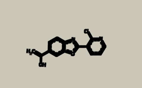 C=C(O)c1ccc2nc(-c3cccnc3Cl)oc2c1